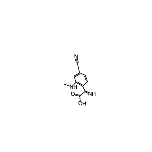 CNc1cc(C#N)ccc1C(=N)C(=O)O